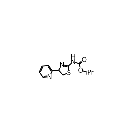 CC(C)OC(=O)NC1=NC(c2ccccn2)CS1